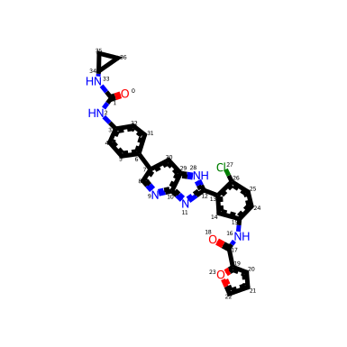 O=C(Nc1ccc(-c2cnc3nc(-c4cc(NC(=O)c5ccco5)ccc4Cl)[nH]c3c2)cc1)NC1CC1